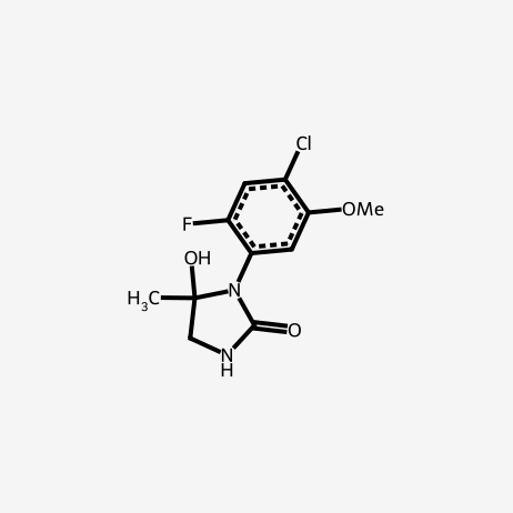 COc1cc(N2C(=O)NCC2(C)O)c(F)cc1Cl